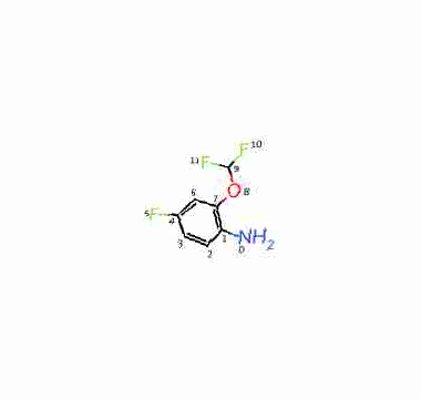 Nc1ccc(F)cc1OC(F)F